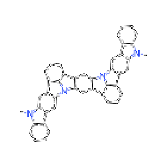 Cn1c2ccccc2c2cc3c(cc21)c1cccc2c4cc5c(cc4n3c12)c1cccc2c3cc4c(cc3n5c21)c1ccccc1n4C